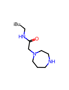 CCC(C)CNC(=O)CN1CCCNCC1